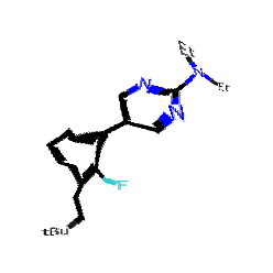 CCN(CC)c1ncc(-c2cccc(CC(C)(C)C)c2F)cn1